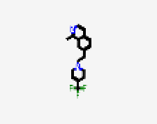 Cc1nccc2ccc(CCN3CC=C(C(F)(F)F)CC3)cc12